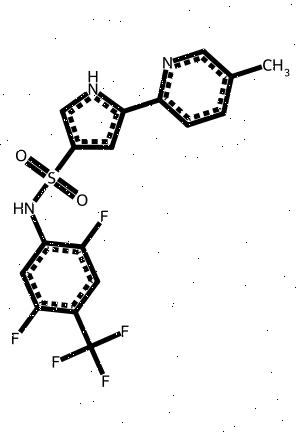 Cc1ccc(-c2cc(S(=O)(=O)Nc3cc(F)c(C(F)(F)F)cc3F)c[nH]2)nc1